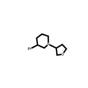 CC(C)C1CCCN(C2CCOC2)C1